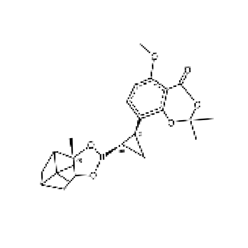 COc1ccc([C@H]2C[C@H]2B2OC3CC4CC(C4(C)C)[C@]3(C)O2)c2c1C(=O)OC(C)(C)O2